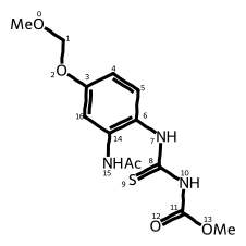 COCOc1ccc(NC(=S)NC(=O)OC)c(NC(C)=O)c1